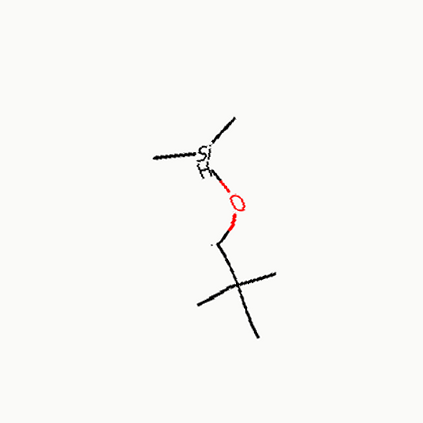 C[SiH](C)O[CH]C(C)(C)C